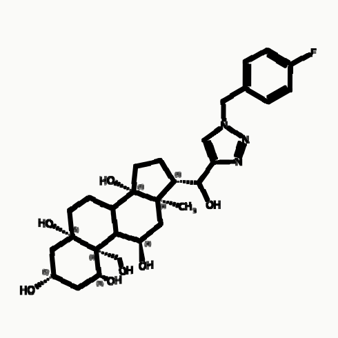 C[C@]12C[C@@H](O)C3C(CC[C@]4(O)C[C@@H](O)C[C@@H](O)[C@]34CO)[C@@]1(O)CC[C@@H]2C(O)c1cn(Cc2ccc(F)cc2)nn1